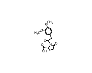 COc1ccc(CC(=O)N2C(=O)CC[C@H]2C(=O)O)cc1OC